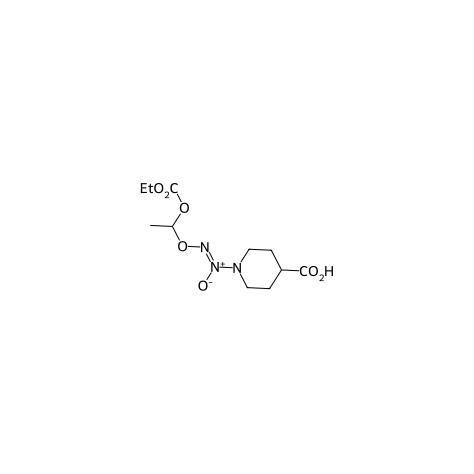 CCOC(=O)OC(C)ON=[N+]([O-])N1CCC(C(=O)O)CC1